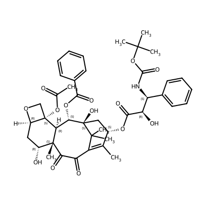 CC(=O)O[C@@]12CO[C@@H]1C[C@@H](O)[C@@]1(C)C(=O)C(=O)C3=C(C)[C@@H](OC(=O)[C@H](O)[C@@H](NC(=O)OC(C)(C)C)c4ccccc4)C[C@@](O)([C@@H](OC(=O)c4ccccc4)[C@H]21)C3(C)C